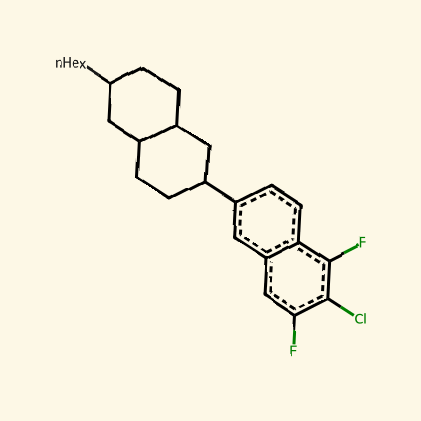 CCCCCCC1CCC2CC(c3ccc4c(F)c(Cl)c(F)cc4c3)CCC2C1